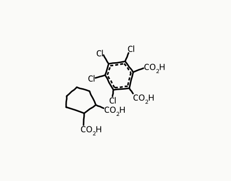 O=C(O)C1CCCCC1C(=O)O.O=C(O)c1c(Cl)c(Cl)c(Cl)c(Cl)c1C(=O)O